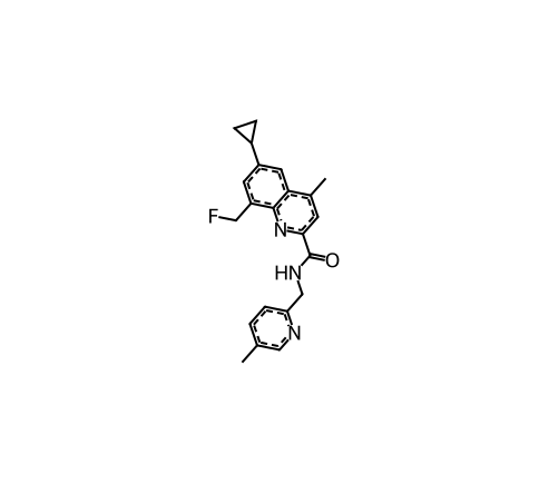 Cc1ccc(CNC(=O)c2cc(C)c3cc(C4CC4)cc(CF)c3n2)nc1